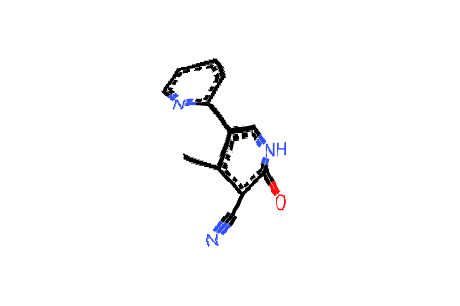 Cc1c(-c2ccccn2)c[nH]c(=O)c1C#N